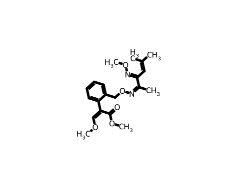 COC=C(C(=O)OC)c1ccccc1CON=C(C)C(C=C(C)C)=NOC